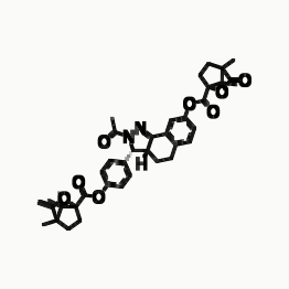 C=C1OC2(C(=O)Oc3ccc([C@H]4[C@H]5CCc6ccc(OC(=O)C78CCC(C)(C(=O)O7)C8(C)C)cc6C5=NN4C(C)=O)cc3)CCC1(C)C2(C)C